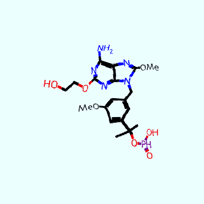 COc1cc(Cn2c(OC)nc3c(N)nc(OCCO)nc32)cc(C(C)(C)O[PH](=O)O)c1